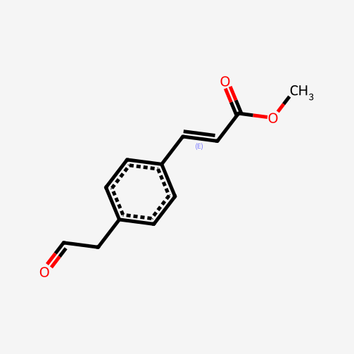 COC(=O)/C=C/c1ccc(CC=O)cc1